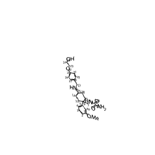 COc1cccc(C2(CNS(N)(=O)=O)CCC(NCc3ccc(OCCO)cc3)CC2)c1